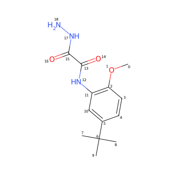 COc1ccc(C(C)(C)C)cc1NC(=O)C(=O)NN